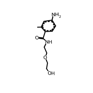 Cc1cc(N)ccc1C(=O)NCCOCCO